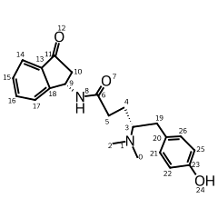 CN(C)[C@H](CCC(=O)N[C@H]1CC(=O)c2ccccc21)Cc1ccc(O)cc1